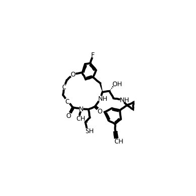 C#Cc1cccc(C2(NC[C@@H](O)[C@@H]3Cc4cc(F)cc(c4)OCCCCC(=O)N(C)C(CCS)C(=O)N3)CC2)c1